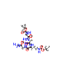 CC(C)(C)OC(=O)NCCCC[C@H](NC(=O)CNC(=O)CNC(=O)OC(C)(C)C)C(=O)NCC(N)=O